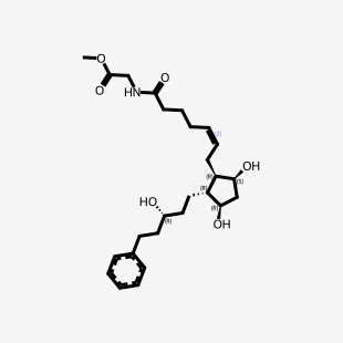 COC(=O)CNC(=O)CCC/C=C\C[C@@H]1[C@@H](CC[C@@H](O)CCc2ccccc2)[C@H](O)C[C@@H]1O